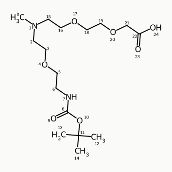 CN(CCOCCNC(=O)OC(C)(C)C)CCOCCOCC(=O)O